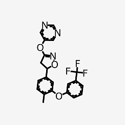 Cc1ccc(C2CC(Oc3cncnc3)=NO2)cc1Oc1cccc(C(F)(F)F)c1